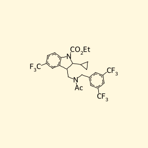 CCOC(=O)N1c2ccc(C(F)(F)F)cc2C(CN(Cc2cc(C(F)(F)F)cc(C(F)(F)F)c2)C(C)=O)C1C1CC1